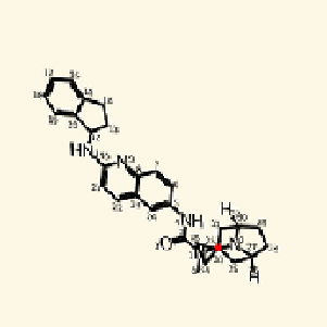 CN(C(=O)Nc1ccc2nc(N[C@@H]3CCc4ccccc43)ccc2c1)[C@@H]1C[C@H]2CC[C@@H](C1)N2C1CC1